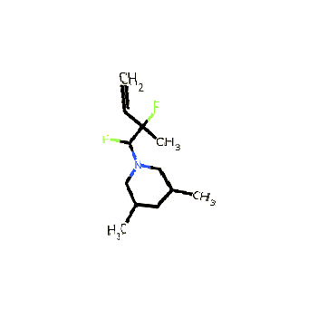 C=CC(C)(F)C(F)N1CC(C)CC(C)C1